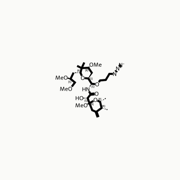 C=C1C[C@](OC)([C@H](O)C(=O)N[C@@H](OCCCN=[N+]=[N-])[C@@H]2C[C@@H](OC)C(C)(C)[C@@H](C[C@@H](COC)OC)O2)O[C@H](C)[C@@H]1C